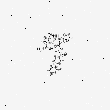 C[C@@H](NC(=O)[C@@H]1CC2(CN1C(=O)CNC(=O)c1ccc(-c3ccc(F)cc3F)cc1)OCCO2)c1cc(C(=N)N)cs1